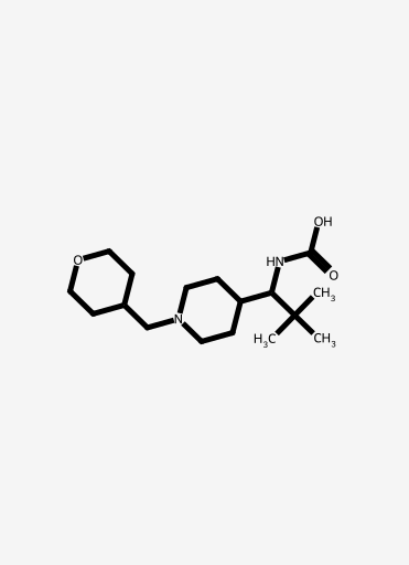 CC(C)(C)C(NC(=O)O)C1CCN(CC2CCOCC2)CC1